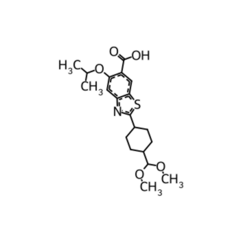 COC(OC)C1CCC(c2nc3cc(OC(C)C)c(C(=O)O)cc3s2)CC1